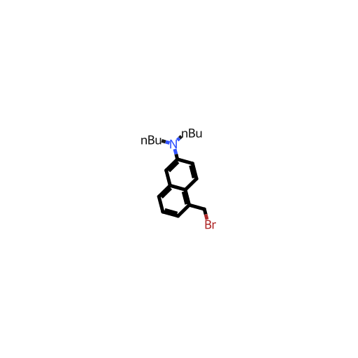 CCCCN(CCCC)c1ccc2c(CBr)cccc2c1